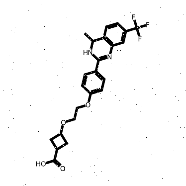 CC1NC(c2ccc(OCCOC3CC(C(=O)O)C3)cc2)=Nc2cc(C(F)(F)F)ccc21